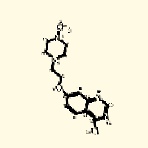 CN1CCN(CCOc2ccc3c(Cl)ncnc3c2)CC1